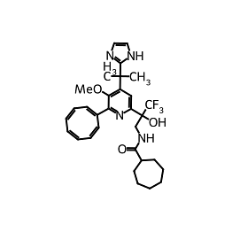 COc1c(C(C)(C)c2ncc[nH]2)cc(C(O)(CNC(=O)C2CCCCCC2)C(F)(F)F)nc1C1=C/C=C\C=C/C=C\1